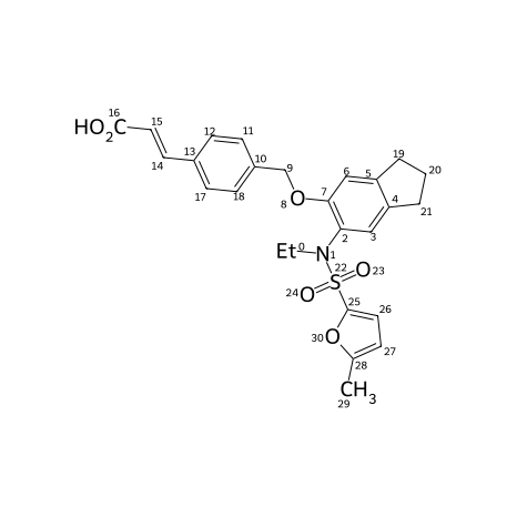 CCN(c1cc2c(cc1OCc1ccc(C=CC(=O)O)cc1)CCC2)S(=O)(=O)c1ccc(C)o1